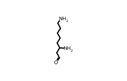 NCCCCCC(N)C[C]=O